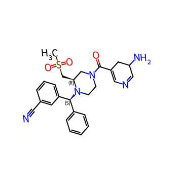 CS(=O)(=O)C[C@H]1CN(C(=O)C2=CN=CC(N)C2)CCN1[C@@H](c1ccccc1)c1cccc(C#N)c1